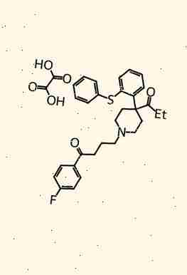 CCC(=O)C1(c2ccccc2Sc2ccccc2)CCN(CCCC(=O)c2ccc(F)cc2)CC1.O=C(O)C(=O)O